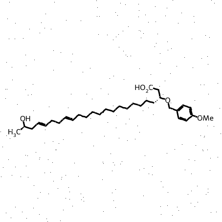 COc1ccc(CO[C@H](CCCCCCCCCCCC/C=C/CC/C=C/C[C@@H](C)O)CC(=O)O)cc1